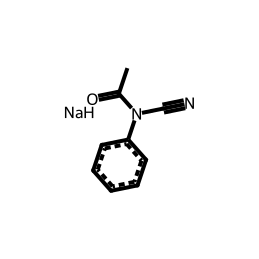 CC(=O)N(C#N)c1ccccc1.[NaH]